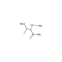 COC(C)C(NC(C)(C)C)C(=O)C(C)(C)C